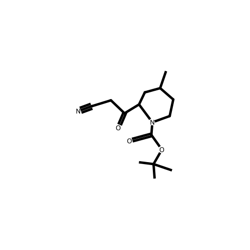 CC1CCN(C(=O)OC(C)(C)C)C(C(=O)CC#N)C1